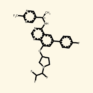 C[C@@H](Nc1ncnc2c(OC3CCN(C(F)C(F)F)C3)cc(-c3ccc(F)cc3)cc12)c1cnc(C(F)(F)F)nc1